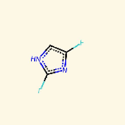 Fc1c[nH]c(F)n1